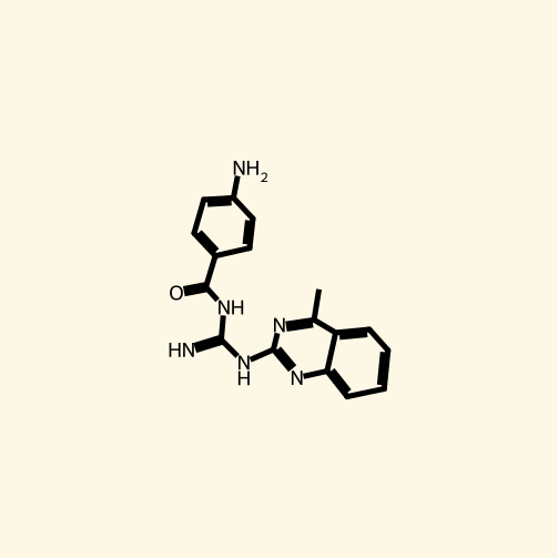 Cc1nc(NC(=N)NC(=O)c2ccc(N)cc2)nc2ccccc12